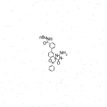 CCCCNC(=O)c1cccc(-c2ccc3c(c2)[C@]2(C[C@H](c4ccccc4)O3)N=C(N)N(C)C2=O)c1